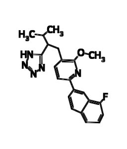 COc1nc(-c2ccc3cccc(F)c3c2)ccc1CC(c1nnn[nH]1)C(C)C